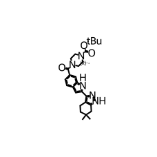 C[C@@H]1CN(C(=O)c2ccc3cc(-c4n[nH]c5c4CCC(C)(C)C5)[nH]c3c2)CCN1C(=O)OC(C)(C)C